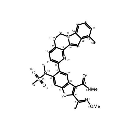 CNC(=O)c1c(C(C)=NOC)oc2cc(N(C)S(C)(=O)=O)c(-c3ccc4c(n3)-c3cc5c(F)cccc5n3CO4)cc12